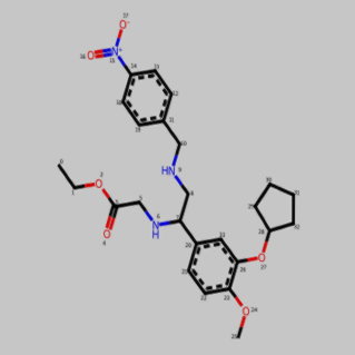 CCOC(=O)CNC(CNCc1ccc([N+](=O)[O-])cc1)c1ccc(OC)c(OC2CCCC2)c1